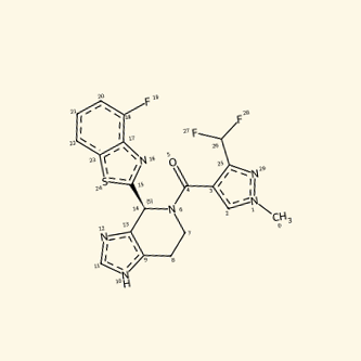 Cn1cc(C(=O)N2CCc3[nH]cnc3[C@H]2c2nc3c(F)cccc3s2)c(C(F)F)n1